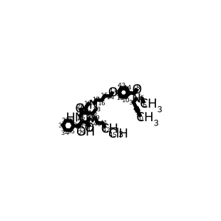 CC#CCN(CC)C(=O)c1ccc(OCCCCN2CCC3(CC2)C(=O)N[C@H]([C@H](O)C2CCCCC2)C(=O)N3CCCC)cc1.Cl